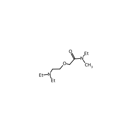 CCN(CC)CCOCC(=O)N(C)CC